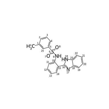 Cc1cccc(S(=O)(=O)Nc2ccccc2-c2nc3ccccc3[nH]2)c1